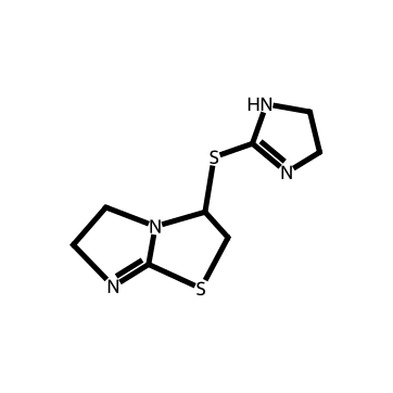 C1CNC(SC2CSC3=NCCN32)=N1